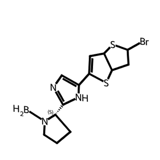 BN1CCC[C@H]1c1ncc(C2=CC3SC(Br)CC3S2)[nH]1